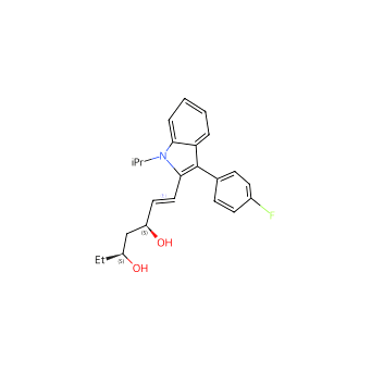 CC[C@H](O)C[C@H](O)/C=C/c1c(-c2ccc(F)cc2)c2ccccc2n1C(C)C